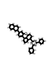 c1ccc(-c2nc(-c3ccccc3)nc(-c3ccc4c5c(cccc35)-c3ccc(-c5ccc6ccccc6c5)cc3O4)n2)cc1